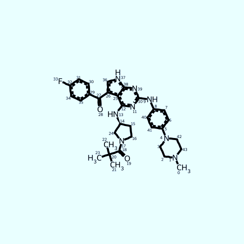 CN1CCN(c2ccc(Nc3nc(N[C@H]4CCN(C(=O)C(C)(C)C)C4)c4c(C(=O)c5ccc(F)cc5)c[nH]c4n3)cc2)CC1